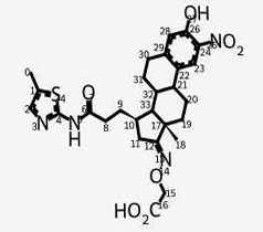 Cc1cnc(NC(=O)CC[C@@H]2C/C(=N\OCC(=O)O)[C@@]3(C)CCC4c5cc([N+](=O)[O-])c(O)cc5CCC4C23)s1